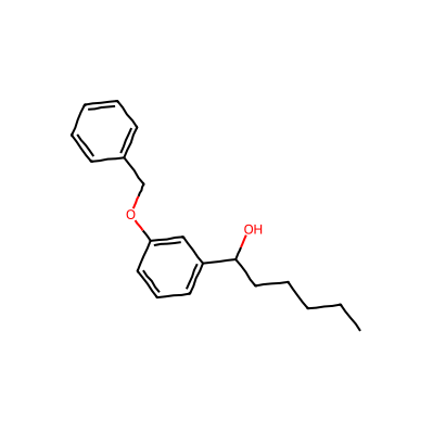 CCCCCC(O)c1cccc(OCc2ccccc2)c1